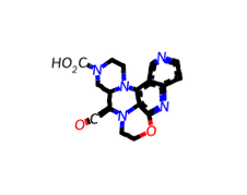 O=C=C1C2CN(C(=O)O)CCN2c2c3c(nc4ccncc24)OCCN13